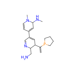 C=C(C1C=C(C2=CC(NC)N(C)C=C2)C=NC1CN)P1CCCC1